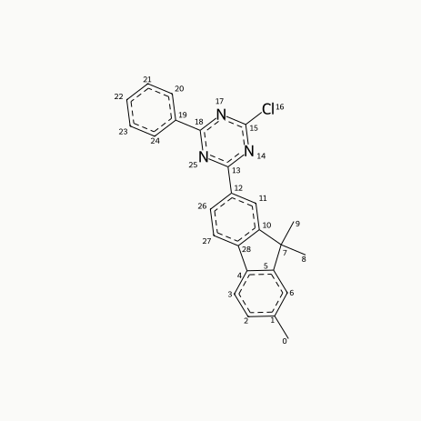 Cc1ccc2c(c1)C(C)(C)c1cc(-c3nc(Cl)nc(-c4ccccc4)n3)ccc1-2